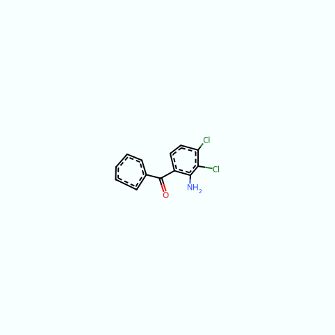 Nc1c(C(=O)c2ccccc2)ccc(Cl)c1Cl